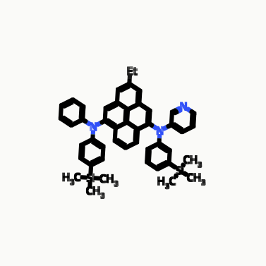 CCc1cc2cc(N(c3ccccc3)c3ccc([Si](C)(C)C)cc3)c3cccc4c(N(c5cccnc5)c5cccc([Si](C)(C)C)c5)cc(c1)c2c34